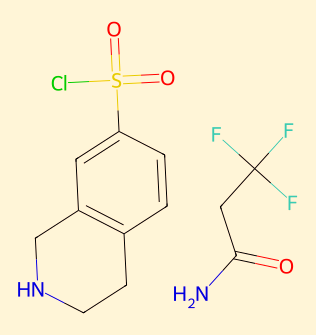 NC(=O)CC(F)(F)F.O=S(=O)(Cl)c1ccc2c(c1)CNCC2